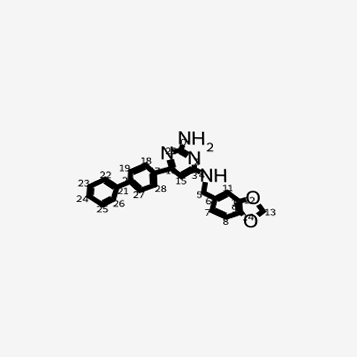 Nc1nc(NCc2ccc3c(c2)OCO3)cc(-c2ccc(-c3ccccc3)cc2)n1